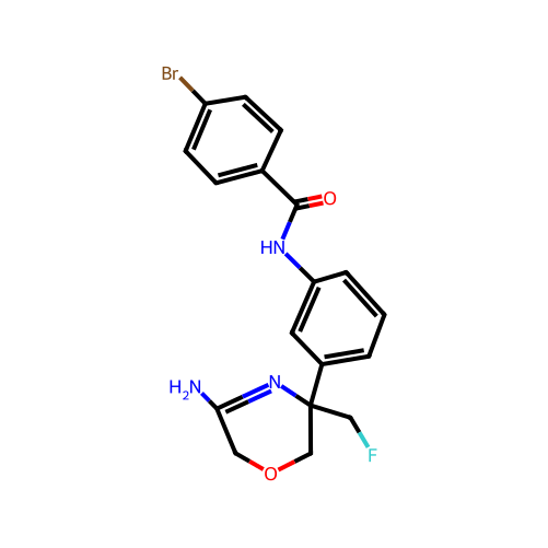 NC1=NC(CF)(c2cccc(NC(=O)c3ccc(Br)cc3)c2)COC1